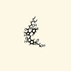 CCN(CC)CC(O)CNC(=O)c1c(C)[nH]c(/C=C2\C(=O)Nc3ccc(C(=O)NCCO)cc32)c1-c1ccc(F)cc1F